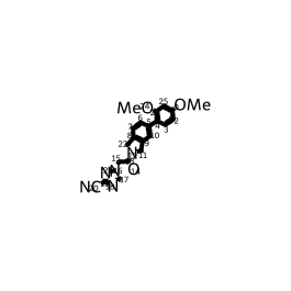 COc1ccc(-c2ccc3c(c2)CN(C(=O)Cn2cnc(C#N)n2)C3)c(OC)c1